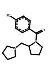 O=C(c1ccc(O)cc1)N1CCCC1CN1CCCC1